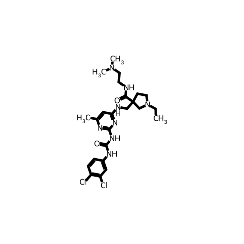 CCN1CCC(CNc2cc(C)nc(NC(=O)Nc3ccc(Cl)c(Cl)c3)n2)(C(=O)NCCN(C)C)C1